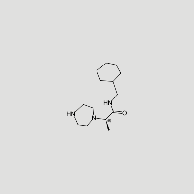 C[C@H](C(=O)NCC1CCCCC1)N1CCNCC1